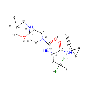 C#CC1(NC(=O)[C@H](CC(C)(F)F)NC(=O)N2CCC3(CC2)NCC(C)(C)CO3)CC1